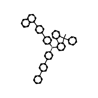 CC1(c2ccccc2)c2ccccc2-c2c(N(c3ccc(-c4ccc(-c5ccccc5)cc4)cc3)c3ccc(-c4ccc(-c5cccc6ccccc56)cc4)cc3)cccc21